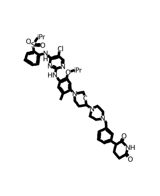 Cc1cc(Nc2ncc(Cl)c(Nc3ccccc3S(=O)(=O)C(C)C)n2)c(OC(C)C)cc1N1CCC(N2CCN(Cc3cccc(C4CCC(=O)NC4=O)c3)CC2)CC1